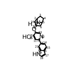 CN1C2CCC1CC(Oc1ccc(-c3ccc4cc[nH]c4c3)nc1)C2.Cl